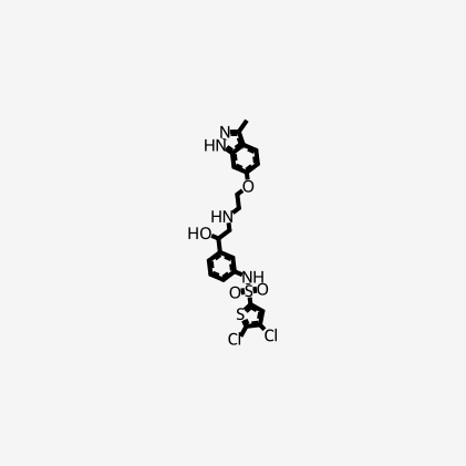 Cc1n[nH]c2cc(OCCNCC(O)c3cccc(NS(=O)(=O)c4cc(Cl)c(Cl)s4)c3)ccc12